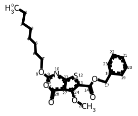 CCCCCCCCOc1nc2sc(C(=O)OCc3ccccc3)c(OC)c2c(=O)o1